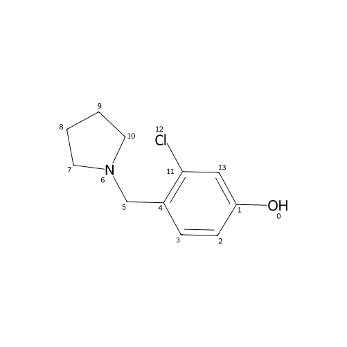 Oc1ccc(CN2CCCC2)c(Cl)c1